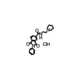 Cl.O=C(NCCN1CCCCC1)c1ccc2c(c1)C(=O)N(c1ccccc1)C2=O